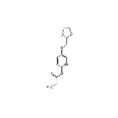 CCC(=O)Oc1ccc(OCC2OCCO2)cn1